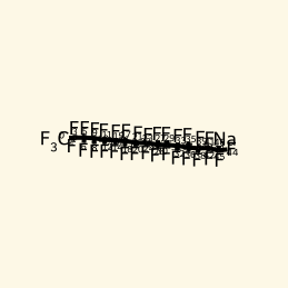 FC(F)(F)C(F)(F)C(F)(F)C(F)(F)C(F)(F)C(F)(F)C(F)(F)C(F)(F)C(F)(F)C(F)(F)C(F)(F)C(F)(F)C(F)(F)C(F)(F)C(F)(F)[C](F)(F)[Na]